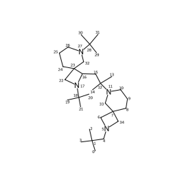 CC(C)(C)CN1CC2(CCCN(C(C)(C)CC3N(C(C)(C)C)CC34CCCN(C(C)(C)C)C4)C2)C1